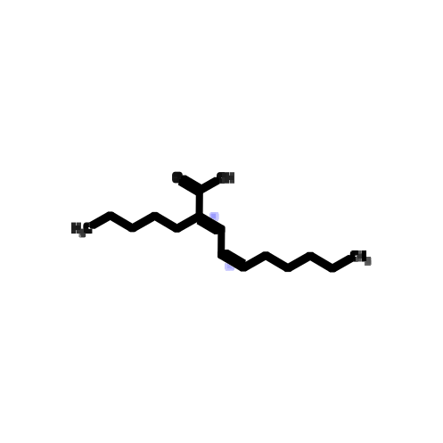 CCCCC/C=C\C=C(/CCCCC)C(=O)O